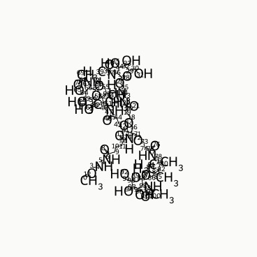 CCOCNCNC(=O)CCCC(=O)NC(COCCC(=O)NCNCOC1OC(CO)C(O)C(O)C1NC(C)=O)(COCCC(=O)NCC(C)(C)CC(C)COC1OC(CO)C(O)C(O)C1NC(C)=O)COCCC(=O)NCC(C)(C)CC(C)(C)COC1OC(CO)C(O)C(O)C1NC(C)=O